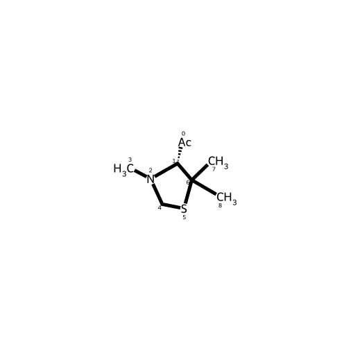 CC(=O)[C@H]1N(C)CSC1(C)C